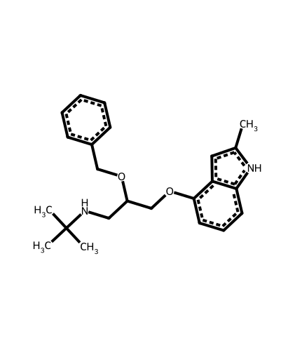 Cc1cc2c(OCC(CNC(C)(C)C)OCc3ccccc3)cccc2[nH]1